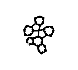 c1ccc2c(c1)-c1ccccc1C21c2ccccc2-c2c1c1cccnc1c1ccccc21